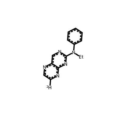 [2H]c1cnc2cnc(N(CC)c3ccccc3)nc2n1